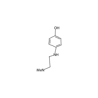 CNCCNc1ccc(O)cc1